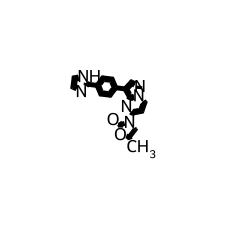 CC1CN(c2ccn3ncc(-c4ccc(-c5ncc[nH]5)cc4)c3n2)C(=O)O1